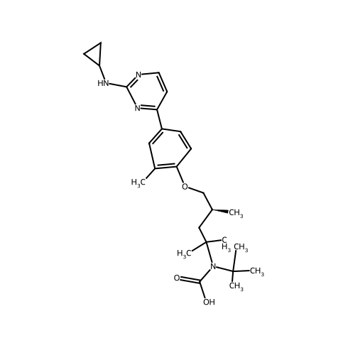 Cc1cc(-c2ccnc(NC3CC3)n2)ccc1OC[C@@H](C)CC(C)(C)N(C(=O)O)C(C)(C)C